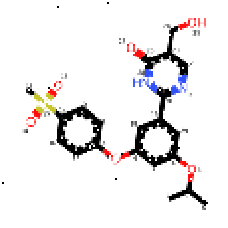 CC(C)Oc1cc(Oc2ccc(S(C)(=O)=O)cc2)cc(-c2ncc(CO)c(=O)[nH]2)c1